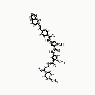 [H]/N=C(\CCNC(=O)c1cc(NC(=O)c2cc(NC(=O)c3ccc(C=Cc4ccc5nonc5c4)cc3)cn2C)cn1C)N1CCN(C)CC1